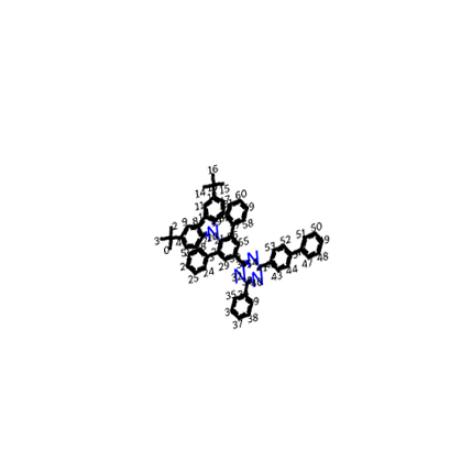 CC(C)(C)c1ccc2c(c1)c1cc(C(C)(C)C)ccc1n2-c1c(-c2ccccc2)cc(-c2nc(-c3ccccc3)nc(-c3ccc(-c4ccccc4)cc3)n2)cc1-c1ccccc1